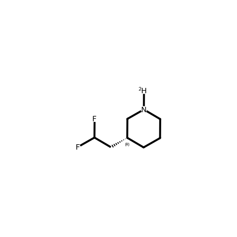 [2H]N1CCC[C@H](CC(F)F)C1